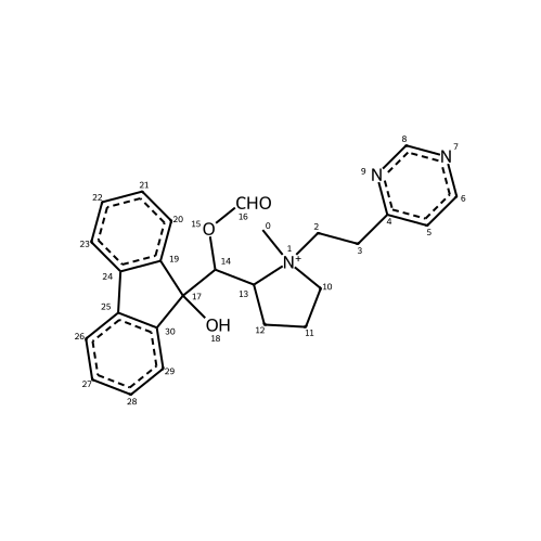 C[N+]1(CCc2ccncn2)CCCC1C(OC=O)C1(O)c2ccccc2-c2ccccc21